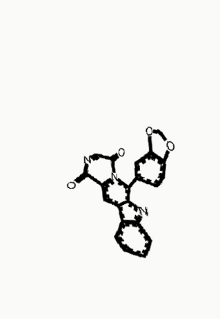 O=C1N=CC(=O)n2c1cc1c3ccccc3nc-1c2-c1ccc2c(c1)OCO2